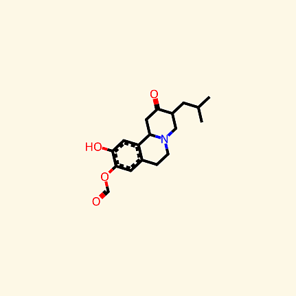 CC(C)CC1CN2CCc3cc(OC=O)c(O)cc3C2CC1=O